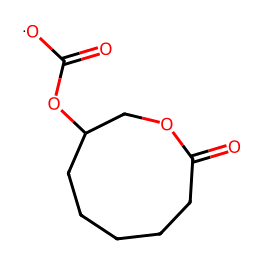 [O]C(=O)OC1CCCCCC(=O)OC1